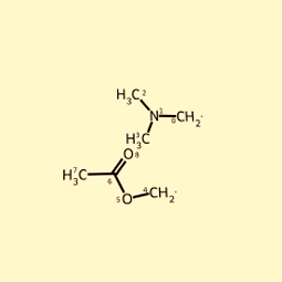 [CH2]N(C)C.[CH2]OC(C)=O